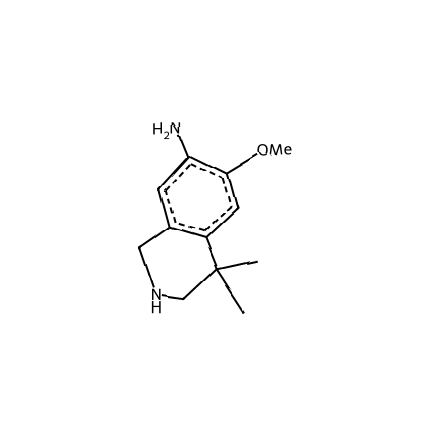 COc1cc2c(cc1N)CNCC2(C)C